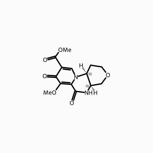 COC(=O)c1cn2c(c(OC)c1=O)C(=O)N[C@@H]1COCC[C@@H]12